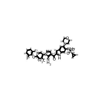 Cc1cc(Oc2c(F)cccc2F)ncc1-n1ncc(C(=O)c2cc3cc(N4CCOCC4)c(NS(=O)(=O)C4CC4)cc3[nH]2)c1N